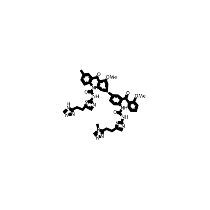 COc1ccccc1C(=O)c1cc(C)ccc1NC(=O)Nc1ncc(CCc2nnc[nH]2)s1.COc1ccccc1C(=O)c1cc(C)ccc1NC(=O)Nc1ncc(CCc2nncn2C)s1